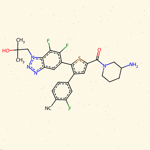 CC(C)(O)Cn1nnc2cc(-c3sc(C(=O)N4CCCC(N)C4)cc3-c3ccc(C#N)c(F)c3)c(F)c(F)c21